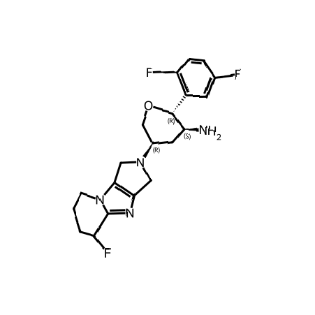 N[C@H]1C[C@@H](N2Cc3nc4n(c3C2)CCCC4F)CO[C@@H]1c1cc(F)ccc1F